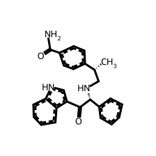 C[C@H](CN[C@@H](C(=O)c1c[nH]c2ccccc12)c1ccccc1)c1ccc(C(N)=O)cc1